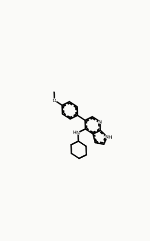 COc1ccc(-c2cnc3[nH]ccc3c2NC2CCCCC2)cc1